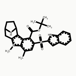 Cc1cc(S(=O)(=O)c2cc3ccccc3[nH]2)c(C(=O)OC(C)(C)C)c2c3c(n(C)c12)CC1CCC3N1